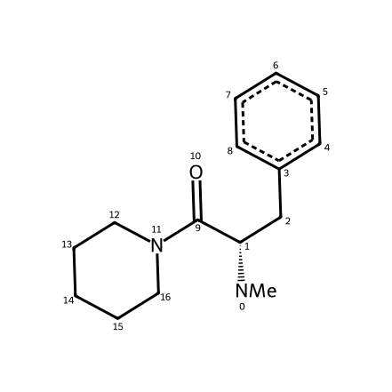 CN[C@@H](Cc1ccccc1)C(=O)N1CCCCC1